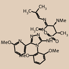 C=N/C(=N\C=C(C)C)[C@@H](NC)[C@@H](C)S(=O)(=O)Nc1nnc(-c2cccc(OC)n2)n1-c1c(OC)cccc1OC